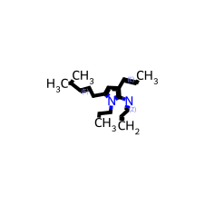 C=C/C=N\c1c(/C=C/C)cc(C/C=C/C(C)C)n1CCC